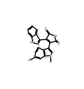 Cn1cc(C2=C(c3n[nH]c4ccccc34)C(=O)NC2=O)c2ccc(Cl)cc21